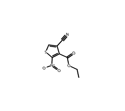 CCOC(=O)c1c(C#N)csc1[N+](=O)[O-]